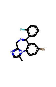 Cc1cnc2n1-c1ccc(Br)cc1C(c1ccccc1F)=NC2